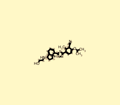 CC(C)OC1=CC=C(c2nnc(C3C=CC=C4[C@@H](NCCO)CC[C@H]43)s2)C(C)C1C#N